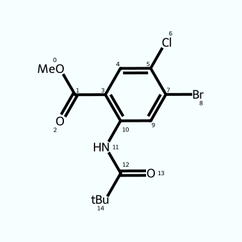 COC(=O)c1cc(Cl)c(Br)cc1NC(=O)C(C)(C)C